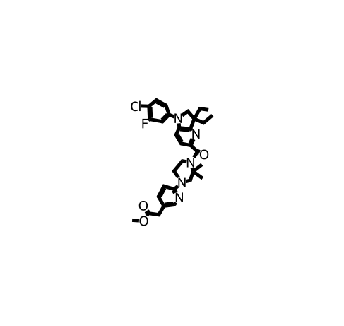 CCC1(CC)CN(c2ccc(Cl)c(F)c2)c2ccc(C(=O)N3CCN(c4ccc(CC(=O)OC)cn4)CC3(C)C)nc21